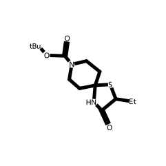 CCC1SC2(CCN(C(=O)OC(C)(C)C)CC2)NC1=O